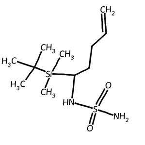 C=CCCC(NS(N)(=O)=O)[Si](C)(C)C(C)(C)C